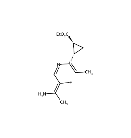 C/C=C(/N=C\C(F)=C(\C)N)[C@H]1C[C@@H]1C(=O)OCC